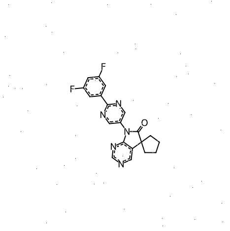 O=C1N(c2cnc(-c3cc(F)cc(F)c3)nc2)c2ncncc2C12CCCC2